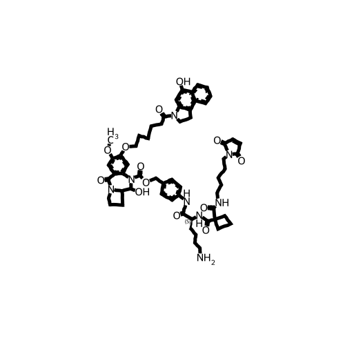 COc1cc2c(cc1OCCCCCC(=O)N1CCc3c1cc(O)c1ccccc31)N(C(=O)OCc1ccc(NC(=O)[C@H](CCCCN)NC(=O)C3(C(=O)NCCCCCN4C(=O)C=CC4=O)CCC3)cc1)C(O)C1CCCN1C2=O